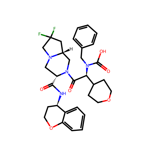 O=C(N[C@@H]1CCOc2ccccc21)[C@@H]1CN2CC(F)(F)C[C@@H]2CN1C(=O)[C@H](C1CCOCC1)N(Cc1ccccc1)C(=O)O